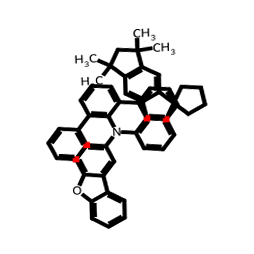 CC1(C)CC(C)(C)c2cc3c(cc21)-c1c(N(c2ccc4oc5ccccc5c4c2)c2c(-c4ccccc4)cccc2-c2ccccc2)cccc1C31CCCC1